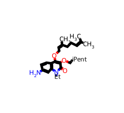 CCCC(C)COc1c(OCC=C(C)CCC=C(C)C)c2ccc(N)cc2n(CC)c1=O